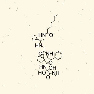 CCCCCCC(=O)NCC(NCC(=O)NC(Cc1ccccc1)C1(C(=O)NC(O)(O)C(=O)NC)CCCO1)=C1CCC1